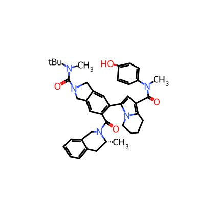 C[C@@H]1Cc2ccccc2CN1C(=O)c1cc2c(cc1-c1cc(C(=O)N(C)c3ccc(O)cc3)c3n1CCCC3)CN(C(=O)N(C)C(C)(C)C)C2